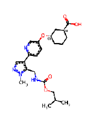 CC(C)COC(=O)NCc1c(-c2ccc(O[C@H]3CCC[C@H](C(=O)O)C3)cn2)cnn1C